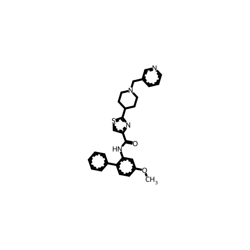 COc1ccc(-c2ccccc2)c(NC(=O)c2csc(C3CCN(Cc4cccnc4)CC3)n2)c1